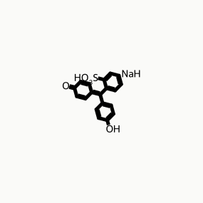 O=C1C=CC(=C(c2ccc(O)cc2)c2ccccc2S(=O)(=O)O)C=C1.[NaH]